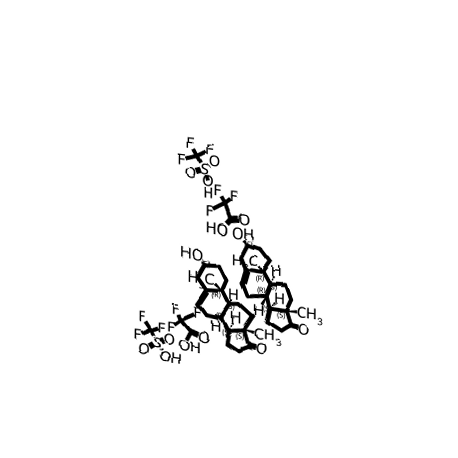 C[C@]12CC[C@H](O)CC1=CC[C@@H]1[C@@H]2CC[C@]2(C)C(=O)CC[C@@H]12.C[C@]12CC[C@H](O)CC1=CC[C@@H]1[C@@H]2CC[C@]2(C)C(=O)CC[C@@H]12.O=C(O)C(F)(F)F.O=C(O)C(F)(F)F.O=S(=O)(O)C(F)(F)F.O=S(=O)(O)C(F)(F)F